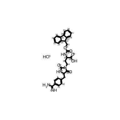 Cl.N=C(N)c1ccc(CC2NC(=O)N(CCC(NC(=O)OCC3c4ccccc4-c4ccccc43)C(=O)O)C2=O)cc1